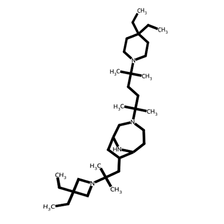 CCC1(CC)CCN(C(C)(C)CCC(C)(C)N2CCC3NC(CC3CC(C)(C)N3CC(CC)(CC)C3)C2)CC1